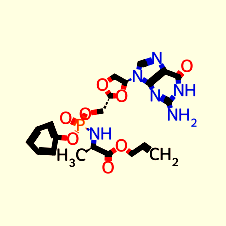 C=CCOC(=O)[C@H](C)N[P@](=O)(OC[C@@H]1OC[C@H](n2cnc3c(=O)[nH]c(N)nc32)O1)Oc1ccccc1